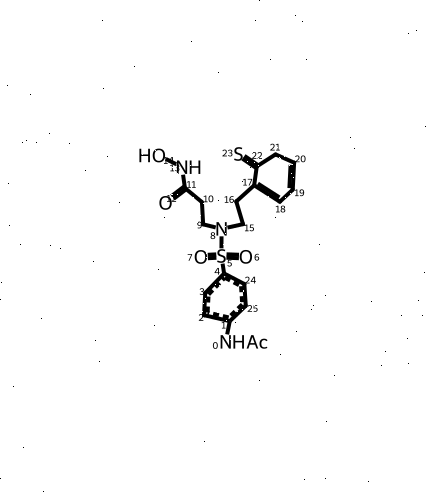 CC(=O)Nc1ccc(S(=O)(=O)N(CCC(=O)NO)CCC2=CC=CCC2=S)cc1